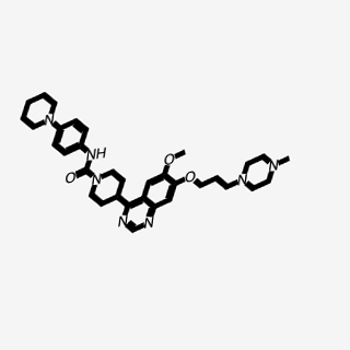 COc1cc2c(C3CCN(C(=O)Nc4ccc(N5CCCCC5)cc4)CC3)ncnc2cc1OCCCN1CCN(C)CC1